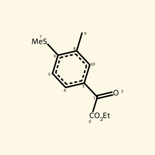 CCOC(=O)C(=O)c1ccc(SC)c(C)c1